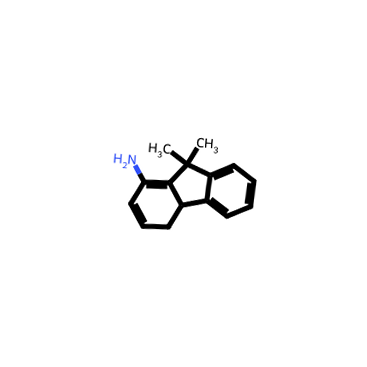 CC1(C)C2=C(N)C=CCC2c2ccccc21